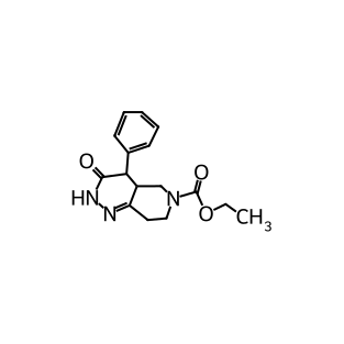 CCOC(=O)N1CCC2=NNC(=O)C(c3ccccc3)C2C1